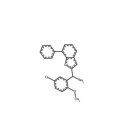 COc1ccc(Cl)cc1C(N)c1cc2cccc(-c3ccccc3)c2o1